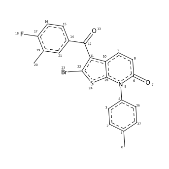 Cc1ccc(-n2c(=O)ccc3c(C(=O)c4ccc(F)c(C)c4)c(Br)sc32)cc1